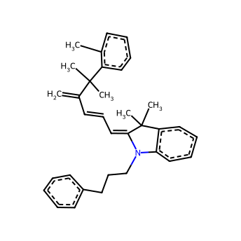 C=C(/C=C/C=C1/N(CCCc2ccccc2)c2ccccc2C1(C)C)C(C)(C)c1ccccc1C